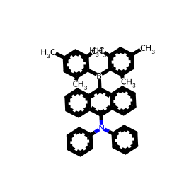 Cc1cc(C)c(B(c2c(C)cc(C)cc2C)c2c3ccccc3c(N(c3ccccc3)c3ccccc3)c3ccccc23)c(C)c1